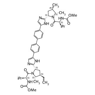 C=C[C@@H]1C[C@@H](c2ncc(-c3ccc(-c4ccc(-c5cnc([C@@H]6C[C@@H](C)[C@H](C)N6C(=O)[C@@H](NC(=O)OC)C(C)C)[nH]5)cc4)cc3)[nH]2)N(C(=O)[C@@H](NC(=O)OC)C(C)C)[C@H]1C